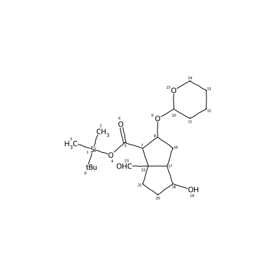 CC(C)(C)[Si](C)(C)OC(=O)C1C(OC2CCCCO2)CC2C(O)CCC21C=O